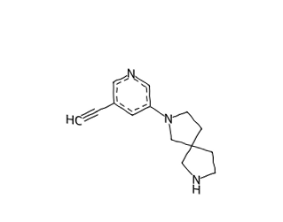 C#Cc1cncc(N2CCC3(CCNC3)C2)c1